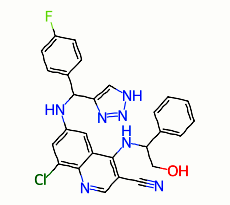 N#Cc1cnc2c(Cl)cc(NC(c3ccc(F)cc3)c3c[nH]nn3)cc2c1NC(CO)c1ccccc1